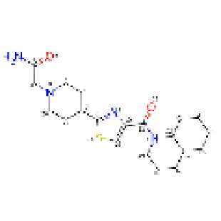 NC(=O)CN1CCC(c2nc(C(=O)N3CCCC4CCCCC43)cs2)CC1